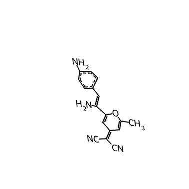 CC1=CC(=C(C#N)C#N)C=C(C(N)=Cc2ccc(N)cc2)O1